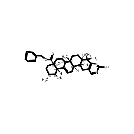 C[C@H]1[C@H](C)CC[C@]2(C(=O)OCc3ccccc3)CC[C@]3(C)C(=CC[C@@H]4[C@@]5(C)Cc6cnc(S)nc6C(C)(C)[C@@H]5CC[C@]43C)[C@H]12